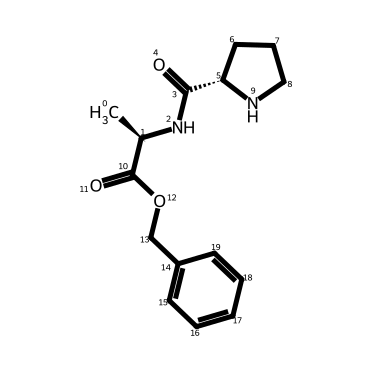 C[C@@H](NC(=O)[C@@H]1CCCN1)C(=O)OCc1ccccc1